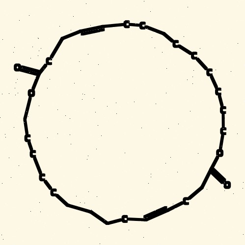 O=C1CCC=CCCCCCCCCCOC(=O)CCC=CCCCCCCCCCO1